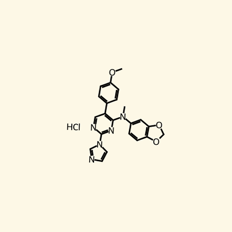 COc1ccc(-c2cnc(-n3ccnc3)nc2N(C)c2ccc3c(c2)OCO3)cc1.Cl